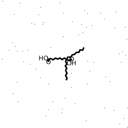 CCCCCCCCCC(CCCCCCCCC)(CCCCCCCC(=O)O)C(=O)O